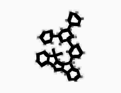 CC1(C)c2ccccc2-n2cc3c4ccccc4n(-c4cccc(-c5nc(-c6ccccc6)cc(-c6ccccc6)n5)c4)c3c21